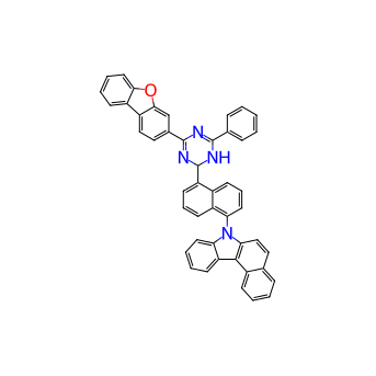 c1ccc(C2=NC(c3ccc4c(c3)oc3ccccc34)=NC(c3cccc4c(-n5c6ccccc6c6c7ccccc7ccc65)cccc34)N2)cc1